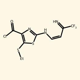 CCSc1sc(N/C=C\C(=N)C(F)(F)F)nc1C(=O)Cl